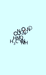 CC(NC(=O)c1c(CN2CCC(N3CCCCC3)CC2)c(-c2ccccc2)nc2ccccc12)c1cn[nH]c1